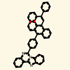 C(=C(c1ccccc1)c1ccccc1)c1c2ccccc2c(-c2ccc(-c3nc4ccccc4c4nc5ccccc5n34)cc2)c2ccccc12